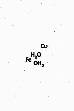 O.O.[Cu].[Fe]